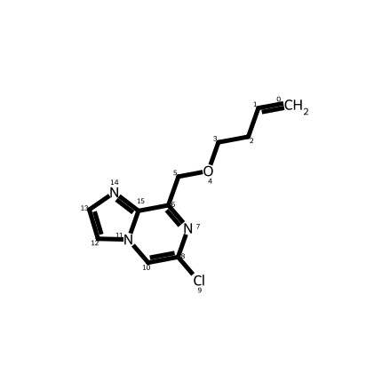 C=CCCOCc1nc(Cl)cn2ccnc12